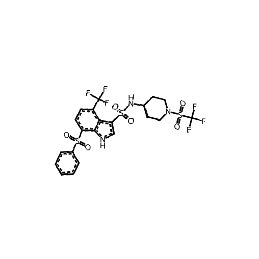 O=S(=O)(NC1CCN(S(=O)(=O)C(F)(F)F)CC1)c1c[nH]c2c(S(=O)(=O)c3ccccc3)ccc(C(F)(F)F)c12